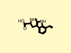 C=Cc1cccc2c(CC(N)C(=O)O)c(C)[nH]c12